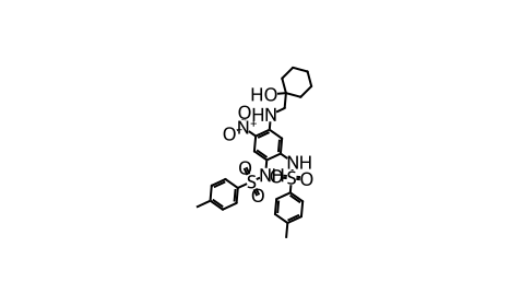 Cc1ccc(S(=O)(=O)Nc2cc(NCC3(O)CCCCC3)c([N+](=O)[O-])cc2NS(=O)(=O)c2ccc(C)cc2)cc1